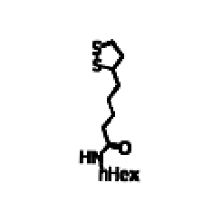 CCCCCCNC(=O)CCCCC1CCSS1